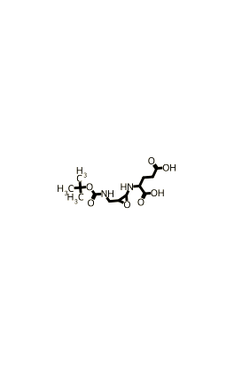 CC(C)(C)OC(=O)NCC1OC1NC(CCC(=O)O)C(=O)O